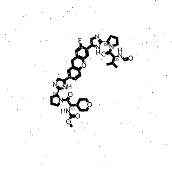 COC(=O)N[C@H](C(=O)N1CCC[C@H]1C1=NCC(c2ccc3c(c2)Cc2cc(F)c(C4CN=C([C@@H]5CCCN5C(=O)[C@@H](NC=O)C(C)C)N4)cc2O3)N1)C1CCOCC1